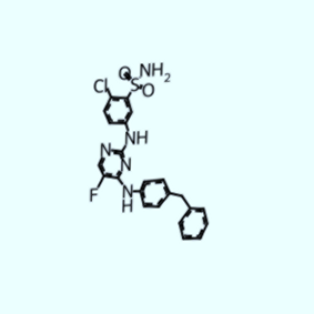 NS(=O)(=O)c1cc(Nc2ncc(F)c(Nc3ccc(Cc4ccccc4)cc3)n2)ccc1Cl